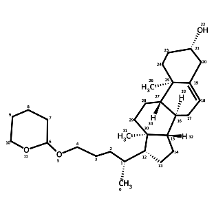 C[C@H](CCCOC1CCCCO1)[C@H]1CC[C@H]2[C@@H]3CC=C4C[C@@H](O)CC[C@]4(C)[C@H]3CC[C@]12C